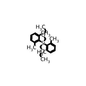 CCOC[Si](COCC)(c1c(C)cccc1C)c1c(C)cccc1C